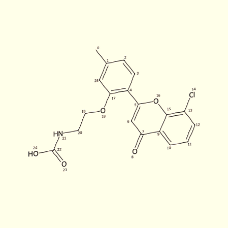 Cc1ccc(-c2cc(=O)c3cccc(Cl)c3o2)c(OCCNC(=O)O)c1